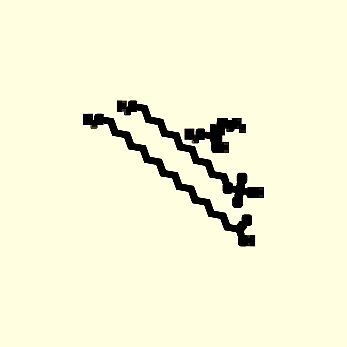 CCCCCCCCCCCCCCCCCC(=O)O.CCCCCCCCCCCCOS(=O)(=O)O.CCO.[MgH2].[NaH]